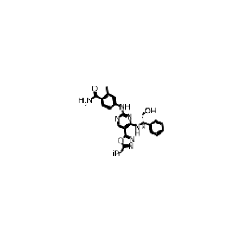 Cc1cc(Nc2ncc(-c3nnc(C(C)C)o3)c(N[C@H](CO)c3ccccc3)n2)ccc1C(N)=O